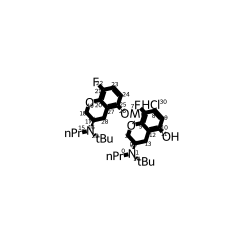 CCCN([C@H]1COc2c(F)ccc(O)c2C1)C(C)(C)C.CCCN([C@H]1COc2c(F)ccc(OC)c2C1)C(C)(C)C.Cl